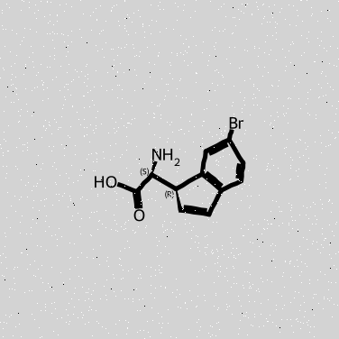 N[C@H](C(=O)O)[C@@H]1C=Cc2ccc(Br)cc21